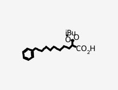 CCC(C)OC(=O)C(CCCCCCCCc1ccccc1)C(=O)O